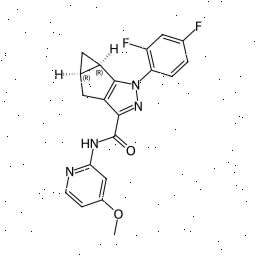 COc1ccnc(NC(=O)c2nn(-c3ccc(F)cc3F)c3c2C[C@H]2C[C@@H]32)c1